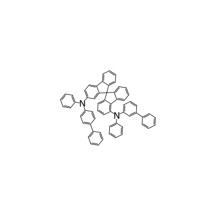 c1ccc(-c2ccc(N(c3ccccc3)c3ccc4c(c3)C3(c5ccccc5-4)c4ccccc4-c4c(N(c5ccccc5)c5cccc(-c6ccccc6)c5)cccc43)cc2)cc1